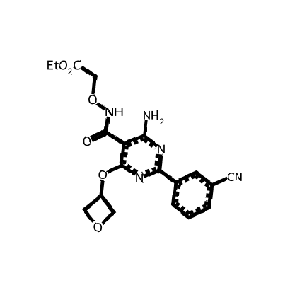 CCOC(=O)CONC(=O)c1c(N)nc(-c2cccc(C#N)c2)nc1OC1COC1